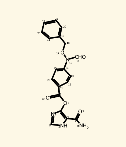 NC(=O)c1[nH]cnc1OC(=O)c1ccc(N(C=O)OCc2ccccc2)cc1